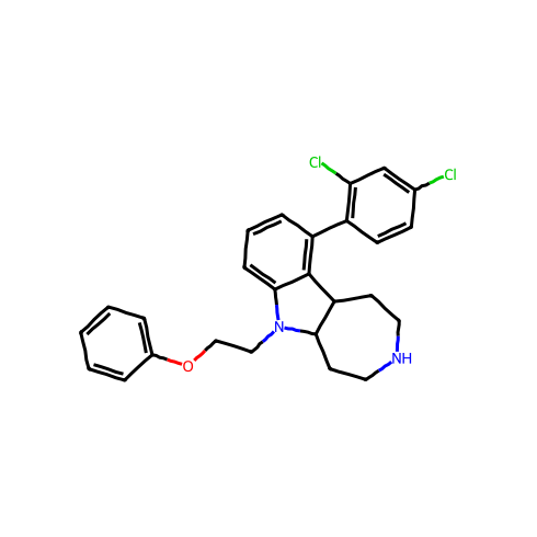 Clc1ccc(-c2cccc3c2C2CCNCCC2N3CCOc2ccccc2)c(Cl)c1